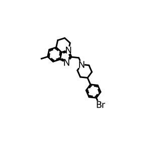 Cc1cc2c3c(c1)nc(CN1CCC(c4ccc(Br)cc4)CC1)n3CCC2